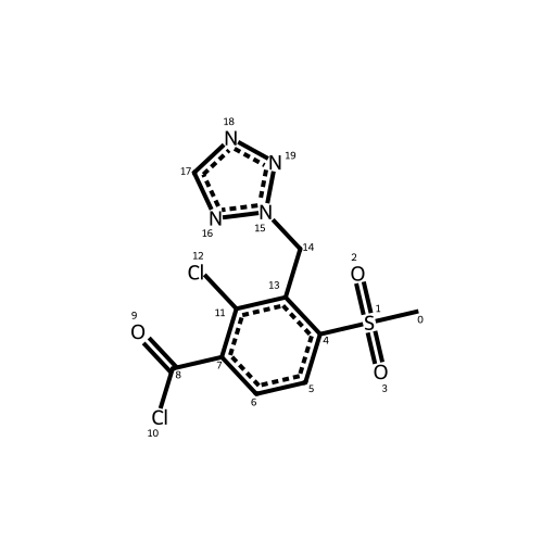 CS(=O)(=O)c1ccc(C(=O)Cl)c(Cl)c1Cn1ncnn1